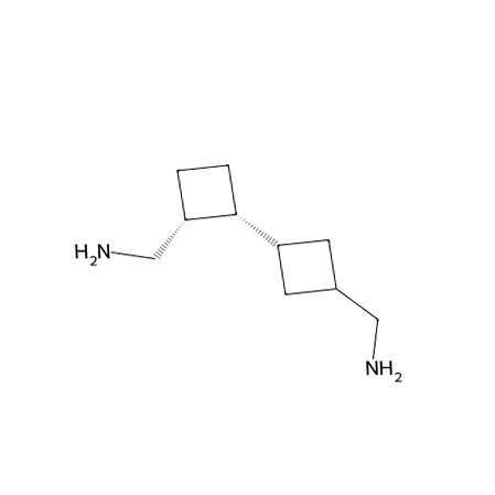 NCC1CC([C@H]2CC[C@H]2CN)C1